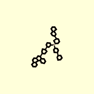 c1ccc(-c2ccc(N(c3cccc(-c4ccc(-c5cc6ccc7ccccc7c6c6ccccc56)cc4)c3)c3cccc(-c4ccc5ccccc5c4)c3)cc2)cc1